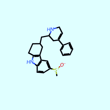 C[S+]([O-])c1ccc2[nH]c3c(c2c1)CC(CC1CC(c2ccccc2)=CCN1)CC3